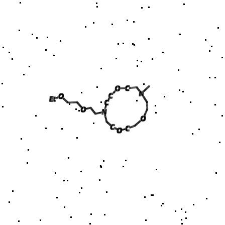 CCOCCOCCN1CCOCCOCCN(C)CCOCC1